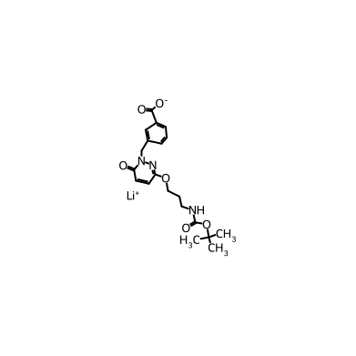 CC(C)(C)OC(=O)NCCCOc1ccc(=O)n(Cc2cccc(C(=O)[O-])c2)n1.[Li+]